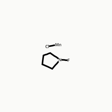 FN1CCCC1.[Cl][Mn]